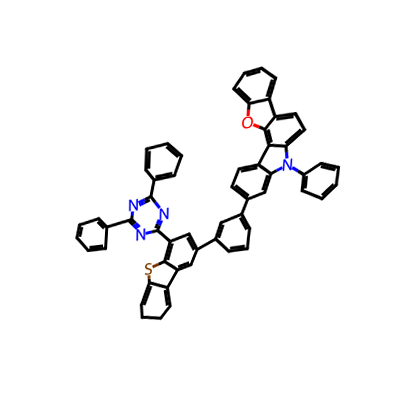 C1=c2sc3c(-c4nc(-c5ccccc5)nc(-c5ccccc5)n4)cc(-c4cccc(-c5ccc6c7c8oc9ccccc9c8ccc7n(-c7ccccc7)c6c5)c4)cc3c2=CCC1